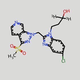 [2H]C([2H])(O)CCn1c(Cn2nc(S(C)(=O)=O)c3ccncc32)nc2cc(Cl)ccc21